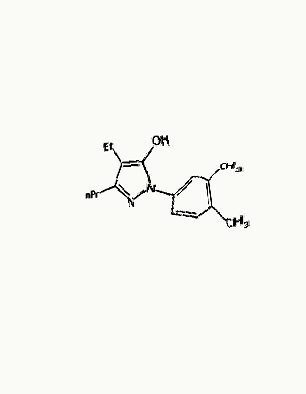 CCCc1nn(-c2ccc(C)c(C)c2)c(O)c1CC